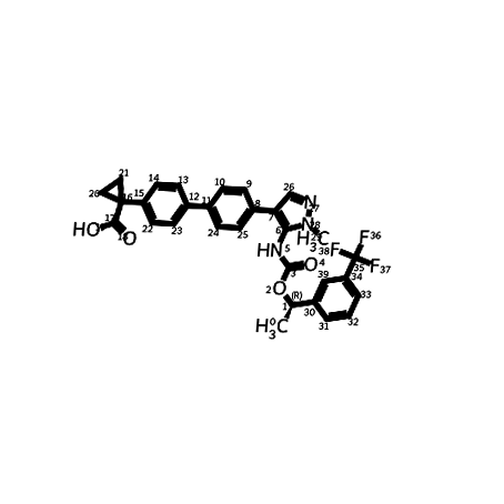 C[C@@H](OC(=O)Nc1c(-c2ccc(-c3ccc(C4(C(=O)O)CC4)cc3)cc2)cnn1C)c1cccc(C(F)(F)F)c1